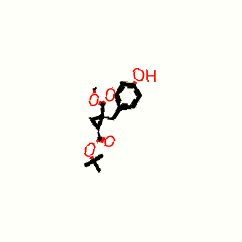 COC(=O)[C@@]1(Cc2ccc(O)cc2)C[C@@H]1C(=O)OC(C)(C)C